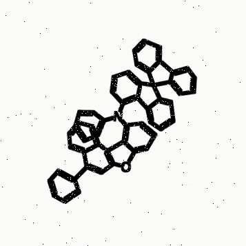 c1ccc(-c2cc3oc4cccc(N(c5ccccc5)c5cccc6c5-c5ccccc5C65c6ccccc6-c6ccccc65)c4c3c3ccccc23)cc1